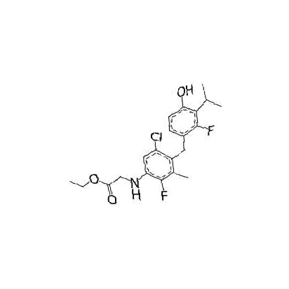 CCOC(=O)CNc1cc(Cl)c(Cc2ccc(O)c(C(C)C)c2F)c(C)c1F